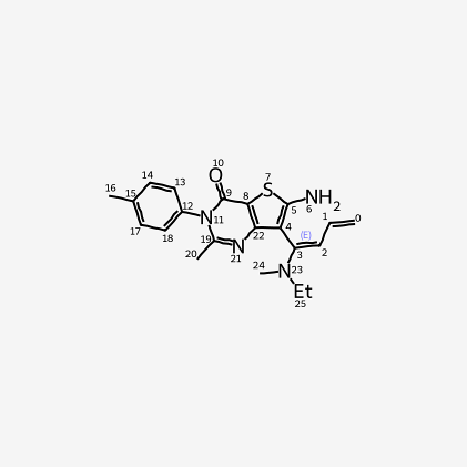 C=C/C=C(\c1c(N)sc2c(=O)n(-c3ccc(C)cc3)c(C)nc12)N(C)CC